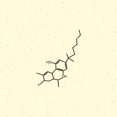 CCCCCCC(C)(C)c1cc(O)c(C2C=C(C)C(F)CC2C(C)C)c(O)c1